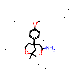 COc1ccc(C2(CC(N)=O)CCOC(C)(C)C2)cc1